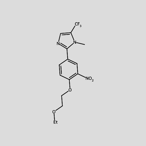 CCOCCOc1ccc(-c2ncc(C(F)(F)F)n2C)cc1[N+](=O)[O-]